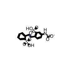 O=[N+]([O-])Nc1ccc(/C=C/c2ccccc2S(=O)(=O)O)c(S(=O)(=O)O)c1